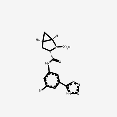 O=C(Nc1cc(Br)cc(-c2nnn[nH]2)c1)[C@@H]1C[C@H]2C[C@H]2N1C(=O)O